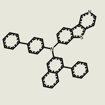 c1ccc(-c2ccc(N(c3cc(-c4ccccc4)c4ccccc4c3)c3ccc4c(c3)sc3ccncc34)cc2)cc1